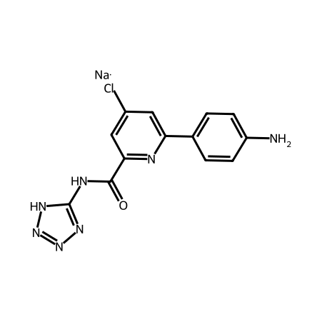 Nc1ccc(-c2cc(Cl)cc(C(=O)Nc3nnn[nH]3)n2)cc1.[Na]